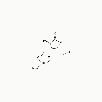 CCCCCCCCCc1ccc([C@@H]2[C@@H](C(C)C)C(=O)N[C@@H]2CO)cc1